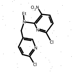 CCN(Cc1ccc(Cl)nc1)c1nc(Cl)ccc1[N+](=O)[O-]